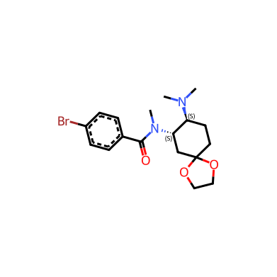 CN(C)[C@H]1CCC2(C[C@@H]1N(C)C(=O)c1ccc(Br)cc1)OCCO2